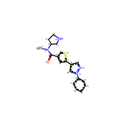 CCCN(C(=O)c1csc(-c2cnn(-c3ccccc3)c2)c1)C1CCNC1